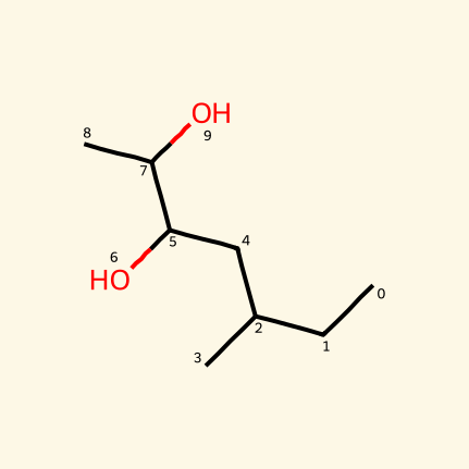 CCC(C)CC(O)C(C)O